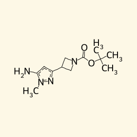 Cn1nc(C2CN(C(=O)OC(C)(C)C)C2)cc1N